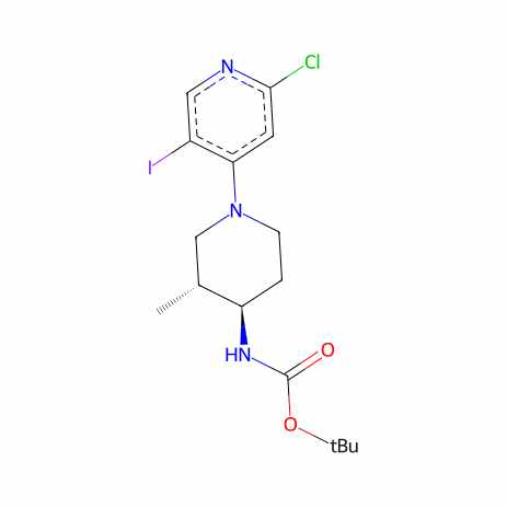 C[C@@H]1CN(c2cc(Cl)ncc2I)CC[C@H]1NC(=O)OC(C)(C)C